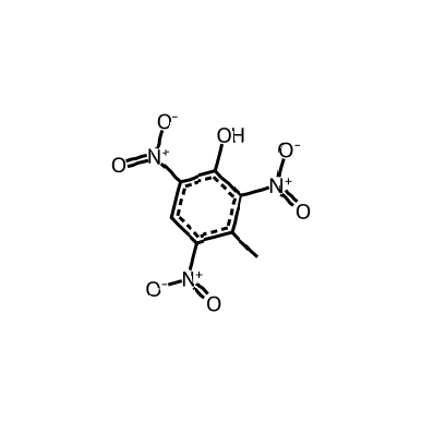 Cc1c([N+](=O)[O-])cc([N+](=O)[O-])c(O)c1[N+](=O)[O-]